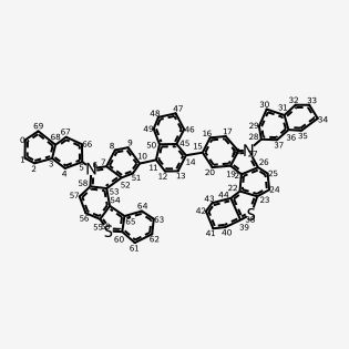 c1ccc2cc(-n3c4ccc(-c5ccc(-c6ccc7c(c6)c6c8c(ccc6n7-c6ccc7ccccc7c6)sc6ccccc68)c6ccccc56)cc4c4c5c(ccc43)sc3ccccc35)ccc2c1